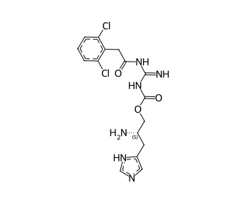 N=C(NC(=O)Cc1c(Cl)cccc1Cl)NC(=O)OC[C@@H](N)Cc1cnc[nH]1